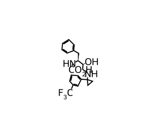 O=C(O)N[C@@H](Cc1ccccc1)[C@H](O)CNC1(c2cccc(C(F)(F)F)c2)CC1